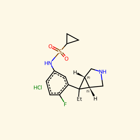 CCC1(c2cc(NS(=O)(=O)C3CC3)ccc2F)[C@@H]2CNC[C@@H]21.Cl